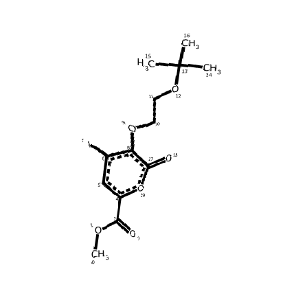 COC(=O)c1cc(I)c(OCCOC(C)(C)C)c(=O)o1